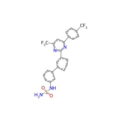 NS(=O)(=O)Nc1cccc(-c2cccc(-c3nc(-c4ccc(C(F)(F)F)cc4)cc(C(F)(F)F)n3)c2)c1